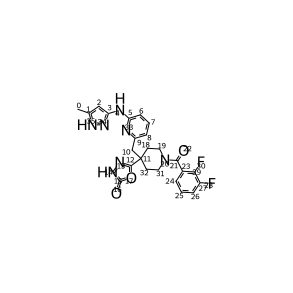 Cc1cc(Nc2cccc(CC3(c4n[nH]c(=O)o4)CCN(C(=O)c4cccc(F)c4F)CC3)n2)n[nH]1